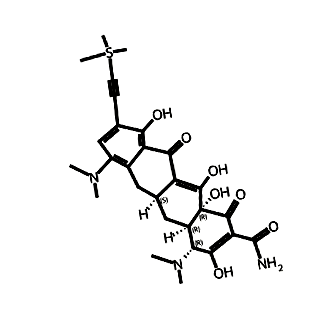 CN(C)c1cc(C#CS(C)(C)C)c(O)c2c1C[C@@H]1C[C@@H]3[C@@H](N(C)C)C(O)=C(C(N)=O)C(=O)[C@]3(O)C(O)=C1C2=O